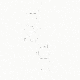 CC(C)Oc1cnc(N2C[C@@H]3CNC(OC(=O)C(F)(F)F)[C@@H]3C2)nc1